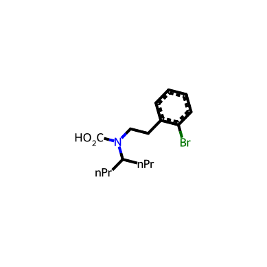 CCCC(CCC)N(CCc1ccccc1Br)C(=O)O